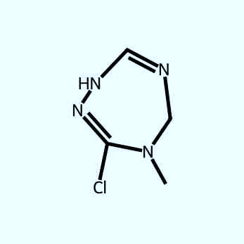 CN1CN=CNN=C1Cl